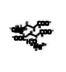 O.O=C([O-])CCC(=O)[O-].O=C([O-])CCC(=O)[O-].[Mg+2].[Mg+2]